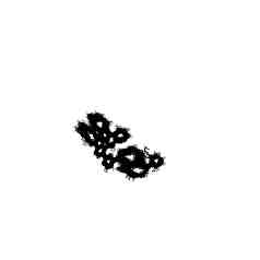 c1cc(-c2ccc3c(c2)C2(c4ccccc4-3)c3ccccc3-c3c2ccc2ccccc32)cc(-c2ccc3c4c(cccc24)-c2ccccc2S3)c1